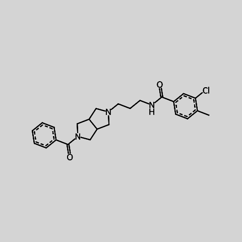 Cc1ccc(C(=O)NCCCN2CC3CN(C(=O)c4ccccc4)CC3C2)cc1Cl